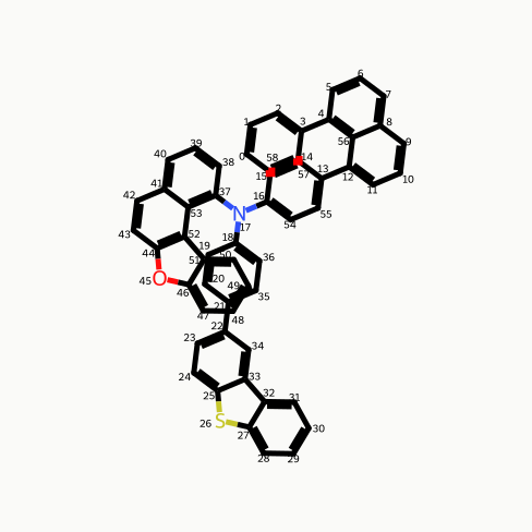 c1ccc(-c2cccc3cccc(-c4ccc(N(c5ccc(-c6ccc7sc8ccccc8c7c6)cc5)c5cccc6ccc7oc8ccccc8c7c56)cc4)c23)cc1